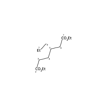 CCC.CCOC(=O)CCCCC(=O)OCC